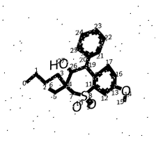 CCCCC1(CC)CS(=O)(=O)c2cc(OC)ccc2C(c2ccccc2)C1O